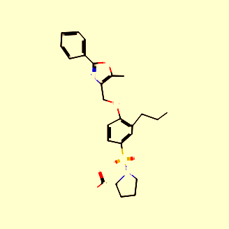 CCCc1cc(S(=O)(=O)N2CCC[C@@H]2C(=O)O)ccc1OCc1nc(-c2ccccc2)oc1C